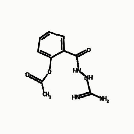 CC(=O)Oc1ccccc1C(=O)NNC(=N)N